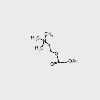 CC(=O)OCC(=O)OCC[N+](C)(C)C